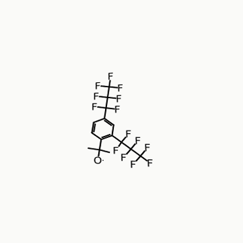 CC(C)([O])c1ccc(C(F)(F)C(F)(F)C(F)(F)F)cc1C(F)(F)C(F)(F)C(F)(F)F